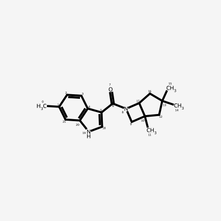 Cc1ccc2c(C(=O)N3CC4(C)CC(C)(C)CC34)c[nH]c2c1